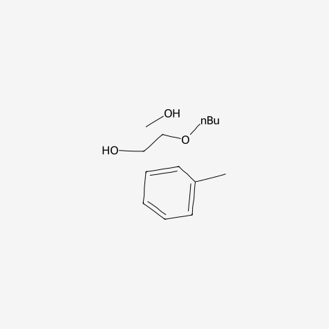 CCCCOCCO.CO.Cc1ccccc1